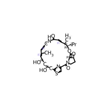 CC1=C\[C@@H](O)C[C@H](O)Cc2nc(cs2)C(=O)N2CCC[C@@H]2C(=O)O[C@H](C(C)C)[C@H](C)/C=C/C(=O)NC\C=C\1